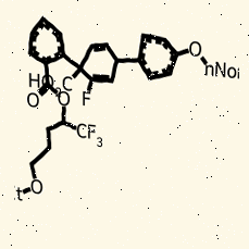 CCCCCCCCCOc1ccc(C2C=CC(C(=O)O)(c3ccccc3C(=O)OC(CCCOCC)C(F)(F)F)C(F)=C2)cc1